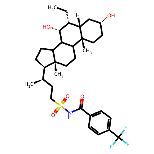 CC[C@H]1[C@@H](O)C2C3CC[C@H]([C@H](C)CCS(=O)(=O)NC(=O)c4ccc(C(F)(F)F)cc4)[C@@]3(C)CCC2[C@@]2(C)CC[C@@H](O)C[C@@H]12